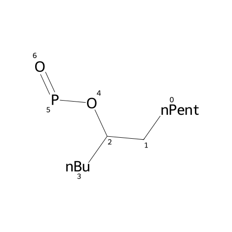 CCCCCCC(CCCC)OP=O